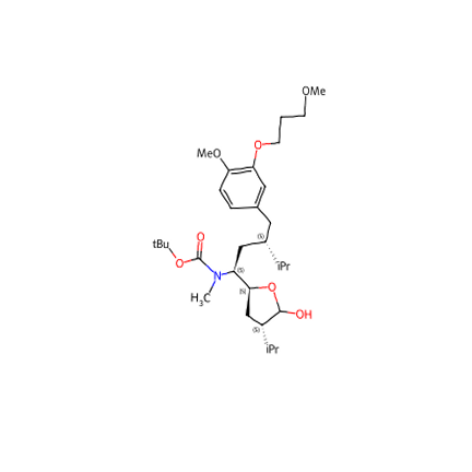 COCCCOc1cc(C[C@@H](C[C@@H]([C@@H]2C[C@@H](C(C)C)C(O)O2)N(C)C(=O)OC(C)(C)C)C(C)C)ccc1OC